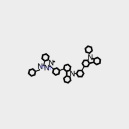 C=N/C(=N\C(=N/Cc1ccccc1)c1ccccc1)c1cccc(-c2cccc3c2c2ccccc2n3-c2cccc(-c3ccc4c(c3)c3ccccc3n4-c3ccccc3)c2)c1